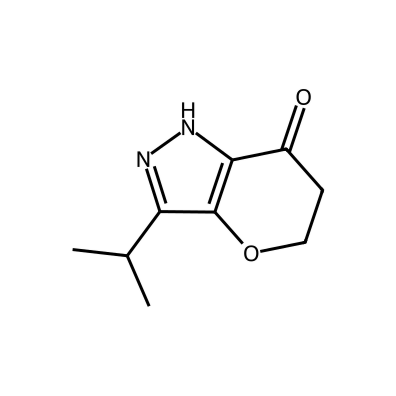 CC(C)c1n[nH]c2c1OCCC2=O